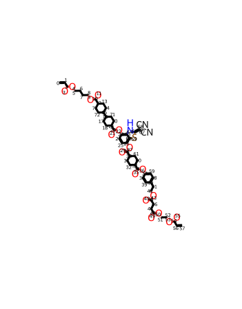 C=CC(=O)OCCCCOC(=O)C1CCC(C2CCC(C(=O)Oc3ccc(OC(=O)C4CCC(C(=O)Oc5ccc(CCOC(=O)CCC(=O)OCCOC(=O)C=C)cc5)CC4)c4c3NC(=C(C#N)C#N)S4)CC2)CC1